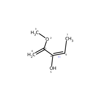 C=C(OC)/C(O)=C\C